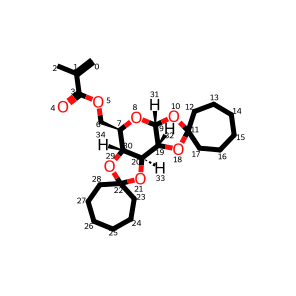 C=C(C)C(=O)OC[C@H]1O[C@@H]2OC3(CCCCCC3)O[C@@H]2[C@H]2OC3(CCCCCC3)O[C@@H]21